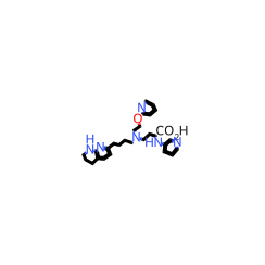 O=C(O)C(CCN(CCCCc1ccc2c(n1)NCCC2)CCOc1ccccn1)Nc1cccnc1